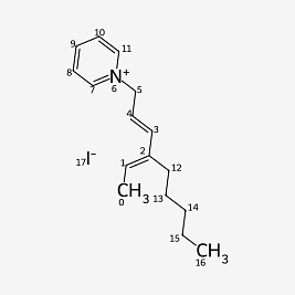 CC=C(C=CC[n+]1ccccc1)CCCCC.[I-]